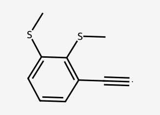 [C]#Cc1cccc(SC)c1SC